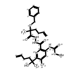 C=CCCC(OCc1ccccc1)(C(=O)NNC(=O)c1nc(C(O)(CCC=C)C(F)(F)F)c(C(F)(F)F)cc1NC(=O)OC(C)(C)C)C(F)(F)F